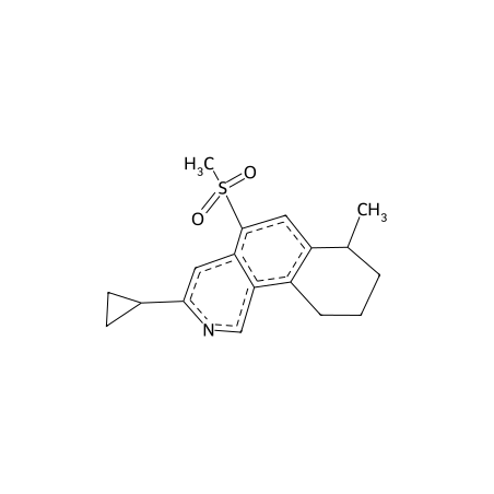 CC1CCCc2c1cc(S(C)(=O)=O)c1cc(C3CC3)ncc21